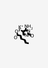 CC=CC=CC(=O)[O-].Nc1nc(=O)[nH]cc1F.[K+]